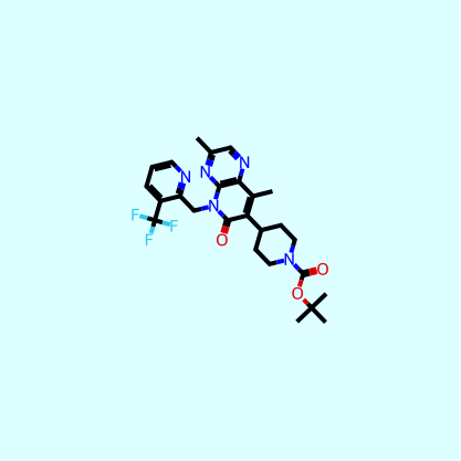 Cc1cnc2c(C)c(C3CCN(C(=O)OC(C)(C)C)CC3)c(=O)n(Cc3ncccc3C(F)(F)F)c2n1